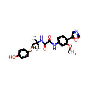 COc1cc(NC(=O)C(=O)NC(C)(C)CSc2ccc(O)cc2)ccc1-c1cnco1